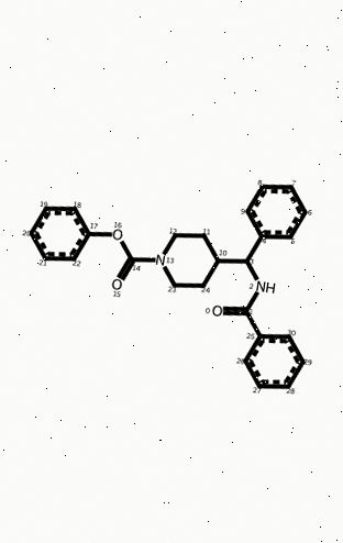 O=C(NC(c1ccccc1)C1CCN(C(=O)Oc2ccccc2)CC1)c1ccccc1